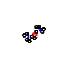 c1ccc2c(N(c3ccc4c(c3)Oc3cccc5cc(N(c6cccc7ccccc67)c6cccc7ccccc67)cc(c35)O4)c3cccc4ccccc34)cccc2c1